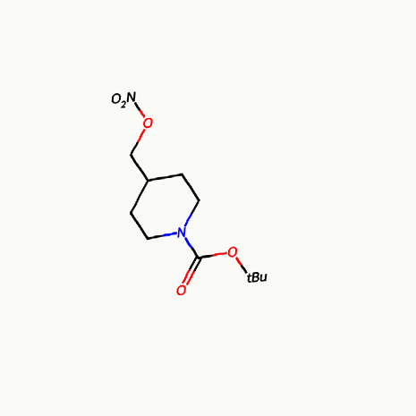 CC(C)(C)OC(=O)N1CCC(CO[N+](=O)[O-])CC1